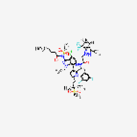 CC(C)(CCc1ccc(-c2ccc(Cl)c3c(N(C(=O)CCCC(=O)O)S(C)(=O)=O)nn(CC(F)(F)F)c23)c([C@H](Cc2cc(F)cc(F)c2)NC(=O)Cn2nc(C(F)(F)F)c3c2C(F)(F)[C@@H]2C[C@H]32)n1)S(C)(=O)=O